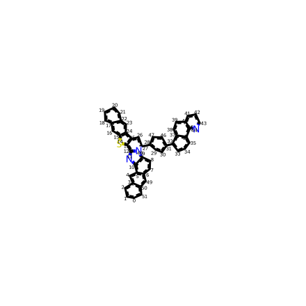 c1ccc2cc3c(ccc4c3nc3c5sc6cc7ccccc7cc6c5cc(-c5ccc(-c6cccc7c6ccc6cccnc67)cc5)n43)cc2c1